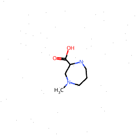 CN1CCC[N]C(C(=O)O)C1